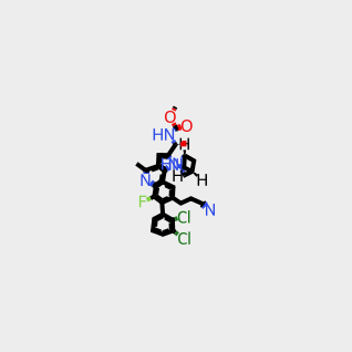 COC(=O)N[C@H](C)c1cc2c(C)nc3c(F)c(-c4cccc(Cl)c4Cl)c(CCC#N)cc3c2n1[C@H]1[C@H]2CN[C@@H]1C2